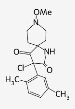 CON1CCC2(CC1)NC(=O)C(Cl)(c1cc(C)ccc1C)C2=O